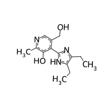 CCc1nc(-c2c(CO)cnc(C)c2O)[nH]c1CC